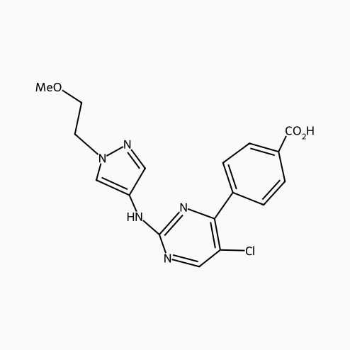 COCCn1cc(Nc2ncc(Cl)c(-c3ccc(C(=O)O)cc3)n2)cn1